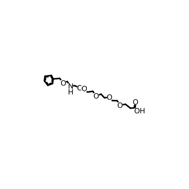 O=C(O)CCOCCOCCOCCOCCNCOCc1ccccc1